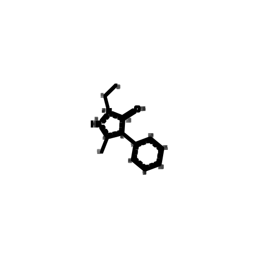 CCn1[nH]c(C)c(-c2ccccc2)c1=O